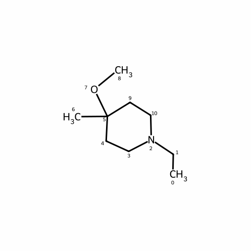 CCN1CCC(C)(OC)CC1